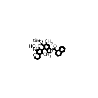 Cc1cc2c(c(-c3cc(F)c4c(c3C)CCCO4)c1[C@H](OC(C)(C)C)C(=O)O)CCN2C(=O)C1CCCc2ccccc21